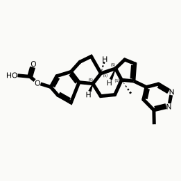 Cc1cc(C2=CC[C@H]3[C@@H]4CCc5cc(OC(=O)O)ccc5[C@H]4CC[C@]23C)cnn1